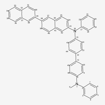 CN(c1ccccc1)c1ccc(-c2ccc(N(c3ccccc3)c3ccc4cc(-c5ccc6ccccc6c5)ccc4c3)cc2)cc1